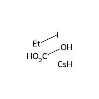 CCI.O=C(O)O.[CsH]